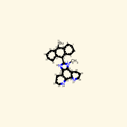 Cn1c(-c2c3ccccc3c(C(C)(C)C)c3ccccc23)nc2c3cccnc3c3ncccc3c21